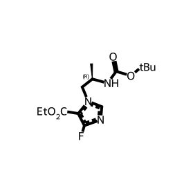 CCOC(=O)c1c(F)ncn1C[C@@H](C)NC(=O)OC(C)(C)C